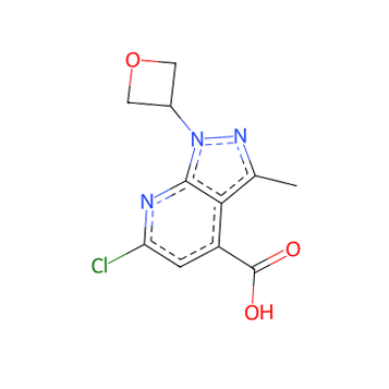 Cc1nn(C2COC2)c2nc(Cl)cc(C(=O)O)c12